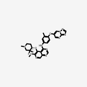 COc1ncc2ncnc(Nc3ccc(Oc4cnc5ncnn5c4)c(C)c3)c2c1O[C@H]1CCN(C)CC1(F)F